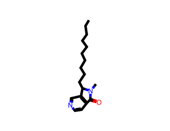 CCCCCCCCCCC1c2cnccc2C(=O)N1C